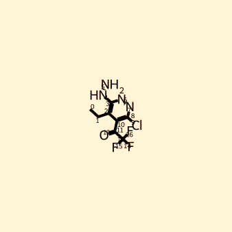 CCc1c(NN)nnc(Cl)c1C(=O)C(F)(F)F